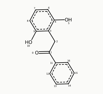 O=C(Cc1c(O)cccc1O)c1ccccc1